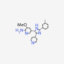 COc1cc(-c2[nH]c(-c3cccc(C)c3)nc2-c2ccncc2)cnc1N